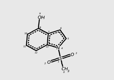 CS(=O)(=O)n1ccc2c(O)cccc21